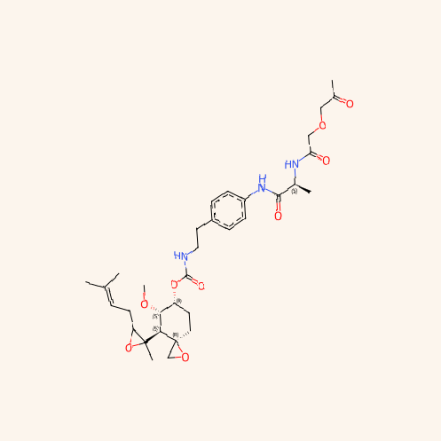 CO[C@H]1[C@H](C2(C)OC2CC=C(C)C)[C@]2(CC[C@H]1OC(=O)NCCc1ccc(NC(=O)[C@H](C)NC(=O)COCC(C)=O)cc1)CO2